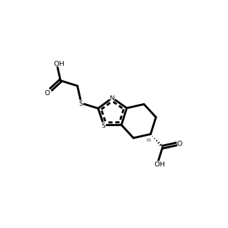 O=C(O)CSc1nc2c(s1)C[C@@H](C(=O)O)CC2